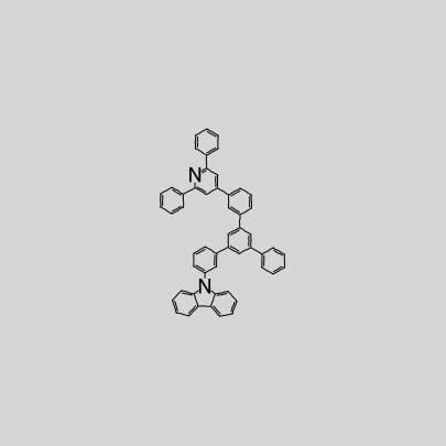 c1ccc(-c2cc(-c3cccc(-c4cc(-c5ccccc5)nc(-c5ccccc5)c4)c3)cc(-c3cccc(-n4c5ccccc5c5ccccc54)c3)c2)cc1